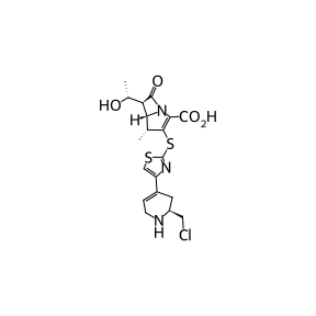 C[C@@H](O)[C@H]1C(=O)N2C(C(=O)O)=C(Sc3nc(C4=CCN[C@H](CCl)C4)cs3)[C@H](C)[C@H]12